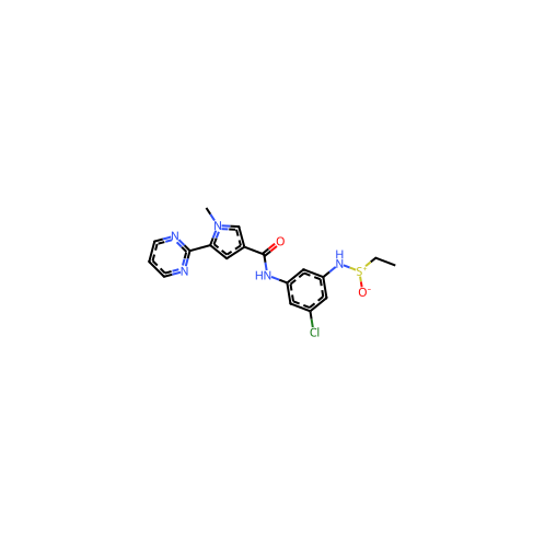 CC[S+]([O-])Nc1cc(Cl)cc(NC(=O)c2cc(-c3ncccn3)n(C)c2)c1